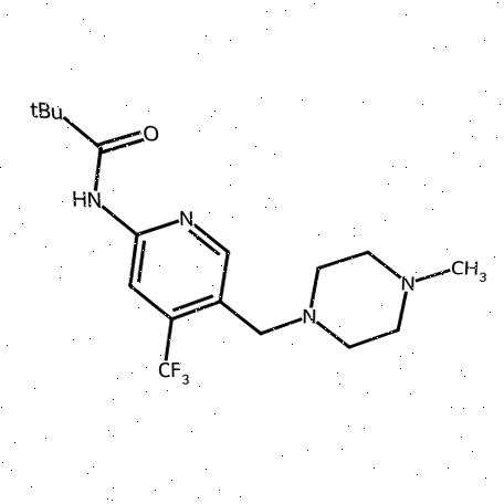 CN1CCN(Cc2cnc(NC(=O)C(C)(C)C)cc2C(F)(F)F)CC1